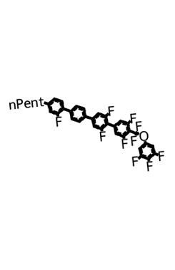 CCCCCc1ccc(-c2ccc(-c3cc(F)c(-c4cc(F)c(C(F)(F)Oc5cc(F)c(F)c(F)c5)c(F)c4)c(F)c3)cc2)c(F)c1